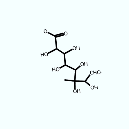 CC(O)(C(O)[C]=O)C(O)C(O)C(O)C(O)C([O])=O